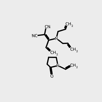 C=CCN(CC=C)C(C=C)=C(C#N)C#N.C=CN1CCCC1=O